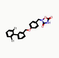 CCc1cccc(CC)c1-c1cccc(COc2ccc(Cn3oc(=O)[nH]c3=O)cc2)c1